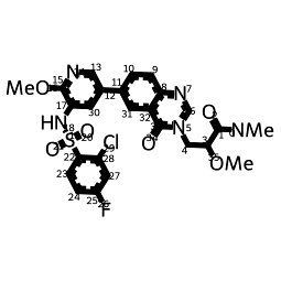 CNC(=O)C(Cn1cnc2ccc(-c3cnc(OC)c(NS(=O)(=O)c4ccc(F)cc4Cl)c3)cc2c1=O)OC